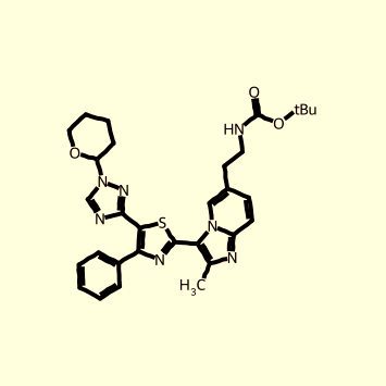 Cc1nc2ccc(CCNC(=O)OC(C)(C)C)cn2c1-c1nc(-c2ccccc2)c(-c2ncn(C3CCCCO3)n2)s1